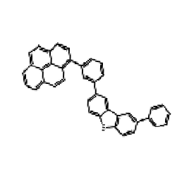 c1ccc(-c2ccc3sc4ccc(-c5cccc(-c6ccc7ccc8cccc9ccc6c7c89)c5)cc4c3c2)cc1